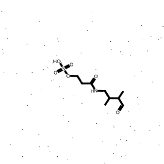 CC(C=O)C(C)CNC(=O)CCOS(=O)(=O)O